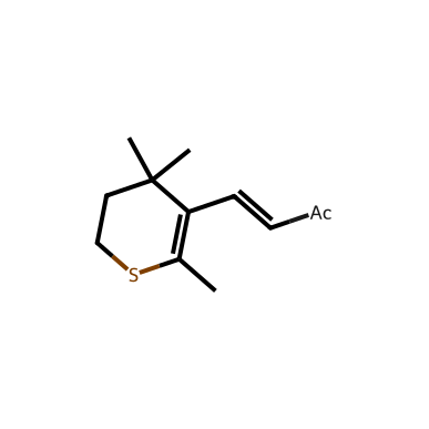 CC(=O)C=CC1=C(C)SCCC1(C)C